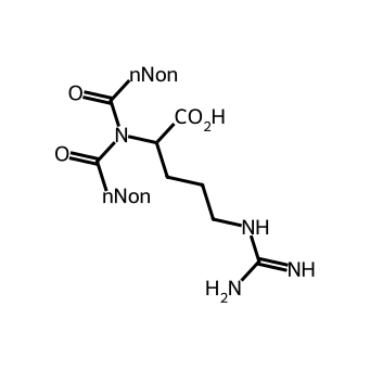 CCCCCCCCCC(=O)N(C(=O)CCCCCCCCC)C(CCCNC(=N)N)C(=O)O